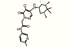 Cc1ccc(NC(=O)Cn2ncc(N[C@@H]3C[C@H](C)C(C)(C)[C@H](C)[C@H]3C)c(Cl)c2=O)cn1